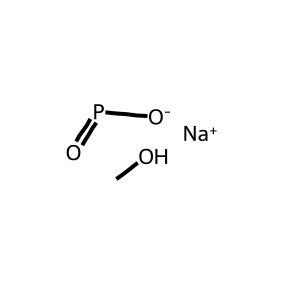 CO.O=P[O-].[Na+]